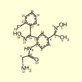 CC(=NO)c1ccc(NC(=O)CN)c(C(=NO)c2ccccc2F)c1